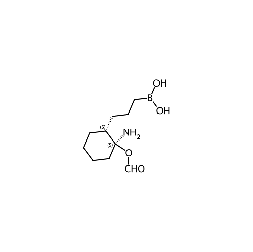 N[C@]1(OC=O)CCCC[C@@H]1CCCB(O)O